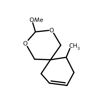 COC1OCC2(CC=CCC2C)CO1